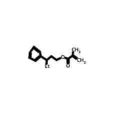 C=C(C)C(=O)OCCC(CC)c1ccccc1